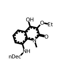 CCCCCCCCCCNc1cccc2c(O)c(OCC)c(=O)n(C)c12